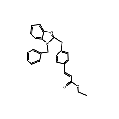 CCOC(=O)/C=C/c1ccc(Cc2nc3ccccc3n2Cc2ccccc2)cc1